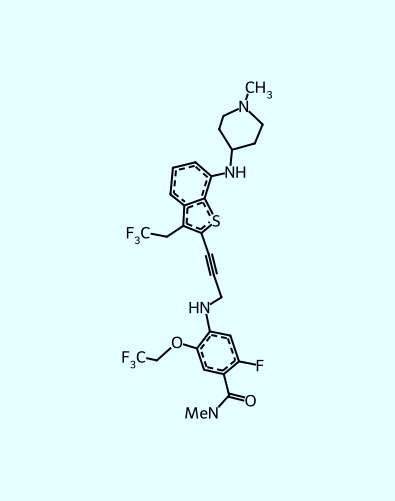 CNC(=O)c1cc(OCC(F)(F)F)c(NCC#Cc2sc3c(NC4CCN(C)CC4)cccc3c2CC(F)(F)F)cc1F